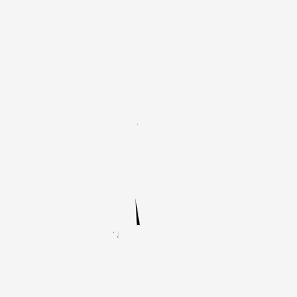 c1ccc(CO[C@H]2C[C@H](c3ccon3)C2)cc1